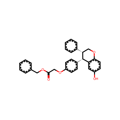 O=C(COc1ccc([C@H]2c3cc(O)ccc3OC[C@H]2c2ccccc2)cc1)OCc1ccccc1